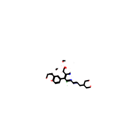 Cc1nc(/C=C/CC2CCOCC2)c(Br)c(-c2ccc3c(c2)CCCO3)c1[C@H](OC(C)(C)C)C(=O)OC(C)C